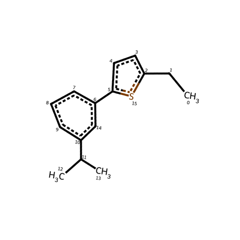 CCc1ccc(-c2cccc(C(C)C)c2)s1